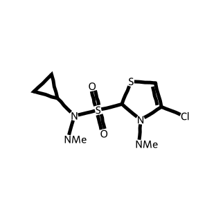 CNN1C(Cl)=CSC1S(=O)(=O)N(NC)C1CC1